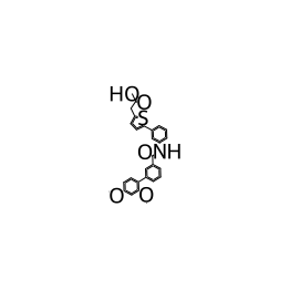 COc1ccc(-c2cccc(C(=O)Nc3cccc(-c4ccc(CC(=O)O)s4)c3)c2)c(OC)c1